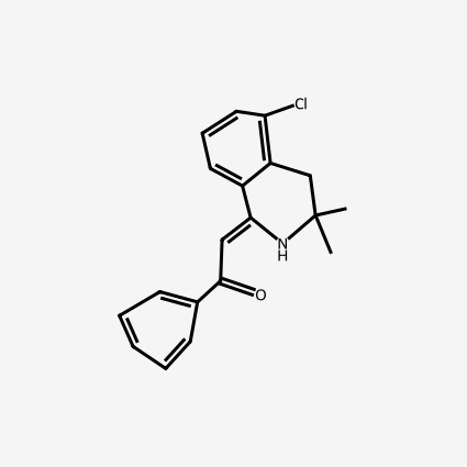 CC1(C)Cc2c(Cl)cccc2/C(=C/C(=O)c2ccccc2)N1